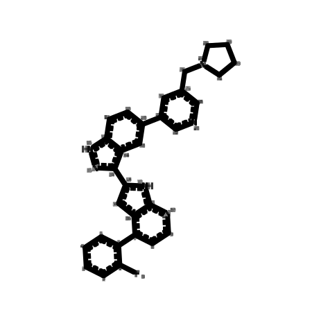 Fc1ccccc1-c1ccnc2[nH]c(-c3n[nH]c4ccc(-c5cncc(CN6CCCC6)c5)cc34)cc12